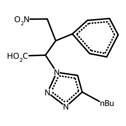 CCCCc1cn(C(C(=O)O)C(C[N+](=O)[O-])c2ccccc2)nn1